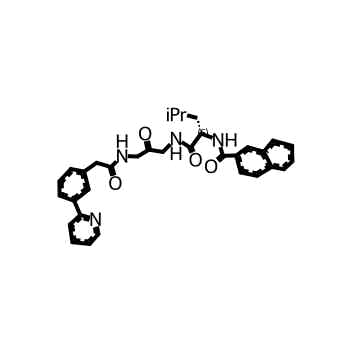 CC(C)C[C@H](NC(=O)c1ccc2ccccc2c1)C(=O)NCC(=O)CNC(=O)Cc1cccc(-c2ccccn2)c1